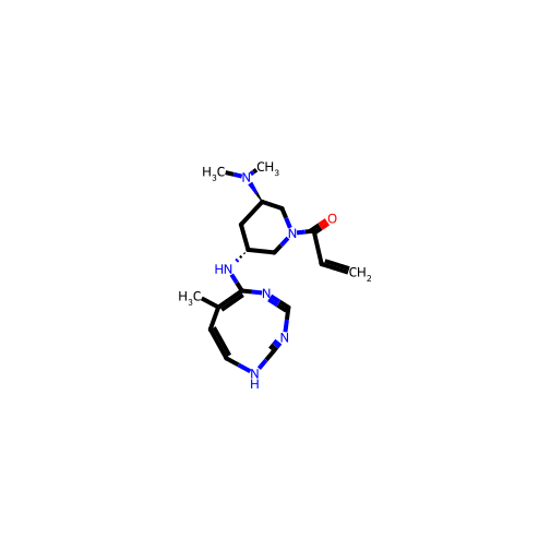 C=CC(=O)N1C[C@H](Nc2ncnc[nH]ccc2C)C[C@@H](N(C)C)C1